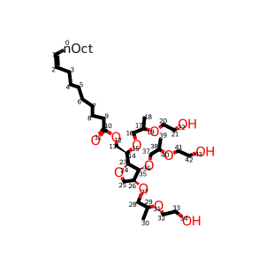 CCCCCCCC/C=C\CCCCCCCC(=O)OC[C@@H](OCC(C)OCCO)[C@H]1OC[C@H](OCC(C)OCCO)[C@H]1OCC(C)OCCO